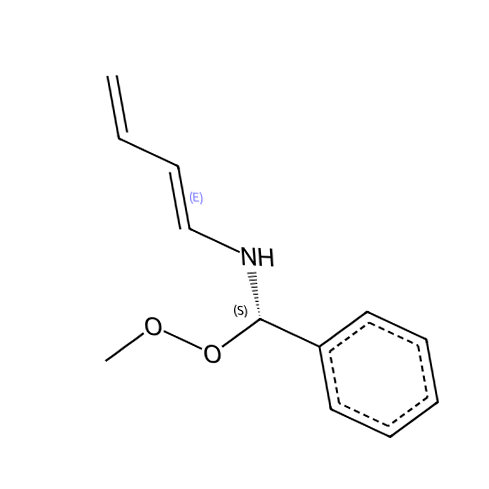 C=C/C=C/N[C@@H](OOC)c1ccccc1